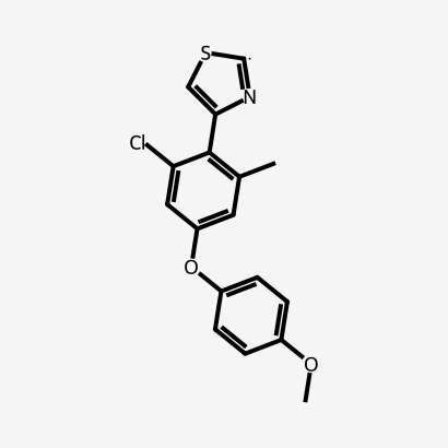 COc1ccc(Oc2cc(C)c(-c3cs[c]n3)c(Cl)c2)cc1